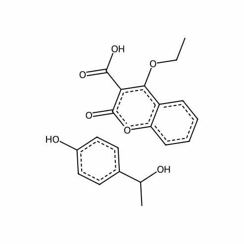 CC(O)c1ccc(O)cc1.CCOc1c(C(=O)O)c(=O)oc2ccccc12